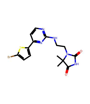 CC1(C)C(=O)NC(=O)N1CCNc1nccc(-c2ccc(Br)s2)n1